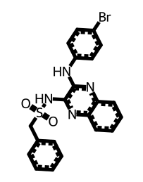 O=S(=O)(Cc1ccccc1)Nc1nc2ccccc2nc1Nc1ccc(Br)cc1